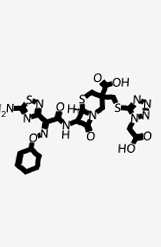 Nc1nc(C(=NOC2C=CCCC2)C(=O)NC2C(=O)N3CC(CSc4nnnn4CC(=O)O)(C(=O)O)CS[C@H]23)ns1